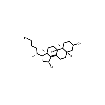 CC(C)CCC[C@@H](C)[C@H]1C[C@H](O)C2=C3CC[C@H]4CC(O)CC[C@]4(C)[C@H]3CC[C@@]21C